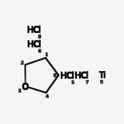 C1CCOC1.Cl.Cl.Cl.Cl.[Ti]